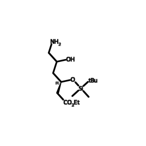 CCOC(=O)C[C@@H](CC(O)CN)O[Si](C)(C)C(C)(C)C